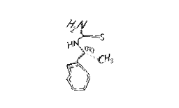 C[C@@H](NC(N)=S)c1ccccc1